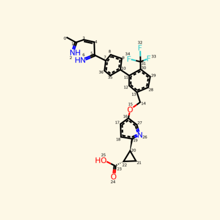 CC(=N)/C=C\C(=N)c1ccc(-c2cc(COc3ccc([C@H]4C[C@@H]4C(=O)O)nc3)ccc2C(F)(F)F)cc1